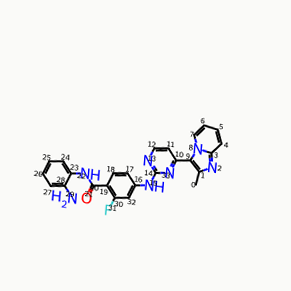 Cc1nc2ccccn2c1-c1ccnc(Nc2ccc(C(=O)Nc3ccccc3N)c(F)c2)n1